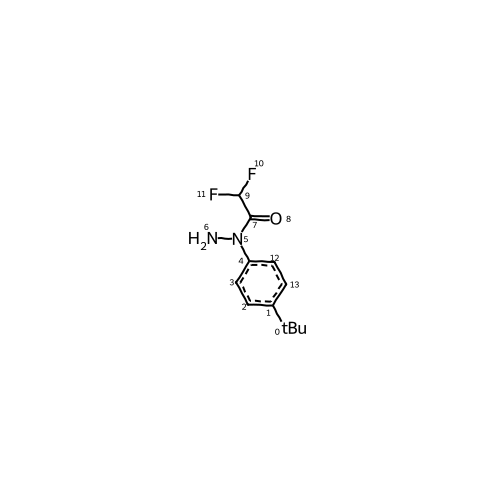 CC(C)(C)c1ccc(N(N)C(=O)C(F)F)cc1